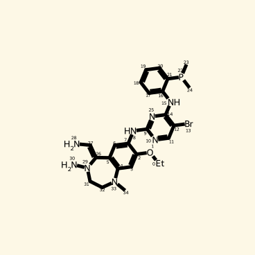 CCOc1cc2c(cc1Nc1ncc(Br)c(Nc3ccccc3P(C)C)n1)/C(=C/N)N(N)CCN2C